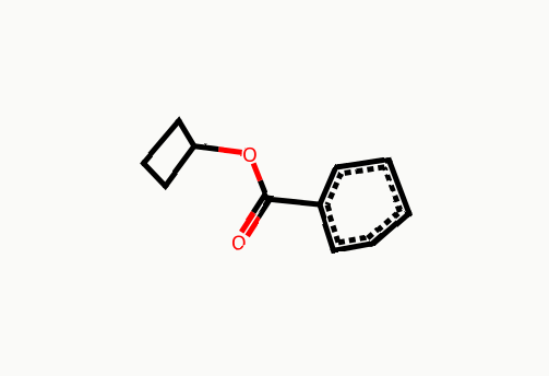 O=C(OC1CCC1)c1ccccc1